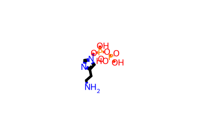 NCCc1cn(OP(=O)(O)OP(=O)(O)O)cn1